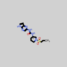 CCCS(=O)(=O)N1CCC[C@@H](NC(=O)Nc2cnc3[nH]ccc3n2)C1